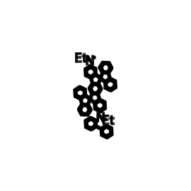 CCN(C)c1ccc2c(c1)C1(c3ccccc3-c3ccccc31)c1cc3c(cc1-2)C1(c2ccccc2-c2ccccc21)c1cc(N(CC)c2ccccc2-c2ccccc2)ccc1-3